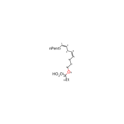 CCCCC/C=C\C/C=C\CCCOC(CC)C(=O)O